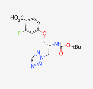 CC(C)(C)OC(=O)N[C@@H](COc1ccc(C(=O)O)c(F)c1)Cn1ncnn1